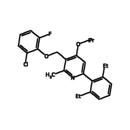 CCc1cccc(CC)c1-c1cc(OC(C)C)c(COc2c(F)cccc2Cl)c(C)n1